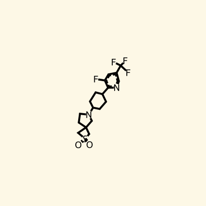 O=S1(=O)CC2(CCN(C3CCC(c4ncc(C(F)(F)F)cc4F)CC3)C2)C1